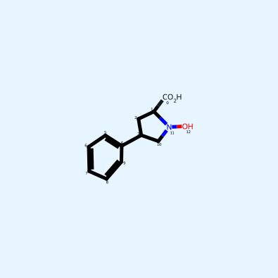 O=C(O)C1CC(c2ccccc2)CN1O